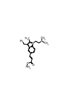 Cc1c(CC(C)C)c2cc(/C=C/C(=O)ON)ccc2n1CCN(C)C